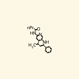 C=C1C=C(c2ccccc2)Nc2cnc(NC(=O)CCC)cc21